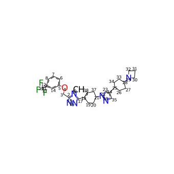 Cn1c(COc2cccc(C(F)(F)F)c2)nnc1C1CCC(n2cc(C3CCC(N4CCC4)CC3)cn2)CC1